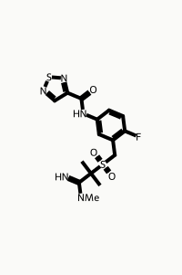 CNC(=N)C(C)(C)S(=O)(=O)Cc1cc(NC(=O)c2cnsn2)ccc1F